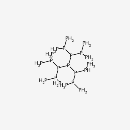 PPP(P(P)P)P(P(P(P)P)P(P)P)P(P(P)P)P(P)P